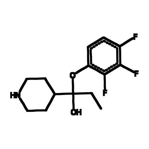 CCC(O)(Oc1ccc(F)c(F)c1F)C1CCNCC1